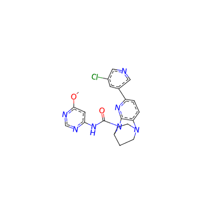 COc1cc(NC(=O)N2c3nc(-c4cncc(Cl)c4)ccc3N3CCC2CC3)ncn1